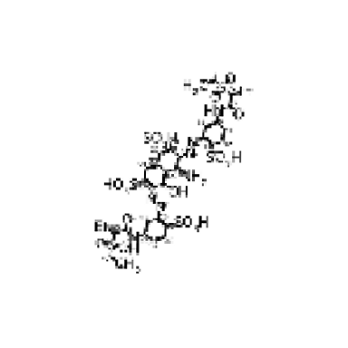 C=CS(=O)(=O)C(CC)C(=O)Nc1ccc(S(=O)(=O)O)c(/N=N/c2c(S(=O)(=O)O)cc3cc(S(=O)(=O)O)c(/N=N/c4cc(NC(=O)C(CC)S(=O)(=O)C=C)ccc4S(=O)(=O)O)c(O)c3c2N)c1